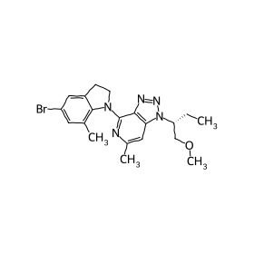 CC[C@H](COC)n1nnc2c(N3CCc4cc(Br)cc(C)c43)nc(C)cc21